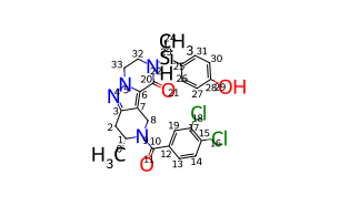 C[C@@H]1Cc2nn3c(c2CN1C(=O)c1ccc(Cl)c(Cl)c1)C(=O)N([Si@@H](C)c1ccc(O)cc1)CC3